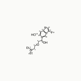 CCN(CC)CCOCC(O)c1ccc2scc(F)c2c1.Cl